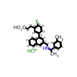 Cc1cccc(C(C)NCc2cc(-c3ccc(F)c(CCC(=O)O)c3)c3ccccc3c2)c1.Cl